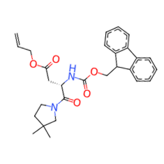 C=CCOC(=O)C[C@H](NC(=O)OCC1c2ccccc2-c2ccccc21)C(=O)N1CCC(C)(C)C1